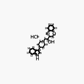 Cl.OC(CN1CCC(c2c[nH]c3ccccc23)CC1)C1COc2ccccc2O1